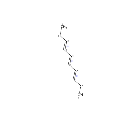 CC/C=C/C=C/C=C/CO